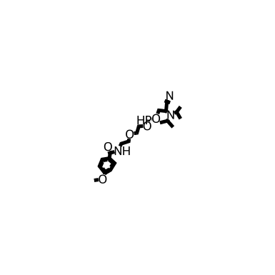 COc1ccc(C(=O)NCCOCCOPOCC(C#N)N(C(C)C)C(C)C)cc1